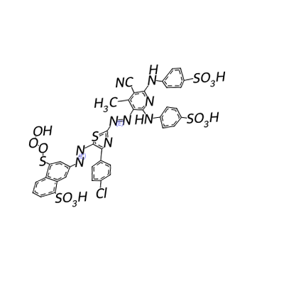 Cc1c(C#N)c(Nc2ccc(S(=O)(=O)O)cc2)nc(Nc2ccc(S(=O)(=O)O)cc2)c1/N=N/c1nc(-c2ccc(Cl)cc2)c(/N=N/c2cc(SOOO)c3cccc(S(=O)(=O)O)c3c2)s1